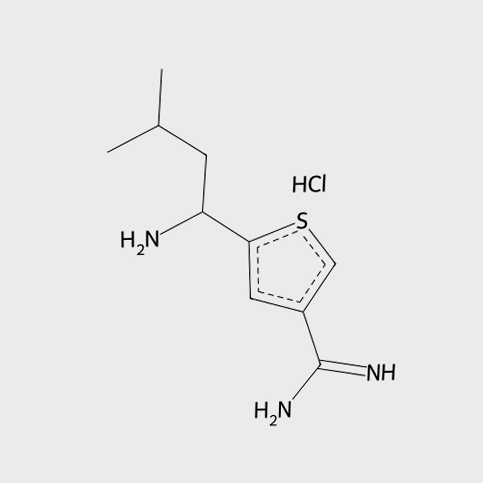 CC(C)CC(N)c1cc(C(=N)N)cs1.Cl